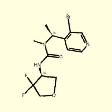 C[C@@H](c1ccncc1Br)N(C)C(=O)N[C@H]1COCC1(F)F